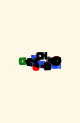 CCc1nc2cc(Cl)ccn2c1C(=O)NCc1ccc(NC23CC4CC5CC(C2)C3(C5)C4)cc1